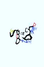 CC1CC(=O)NN=C1c1ccc(NC2=C(Cc3cccc(-c4cccs4)c3)C(=O)CCC2)cc1